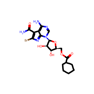 NC(=O)c1c(Br)nc2n([C@H]3O[C@@H](COC(=O)C4CCCCC4)[C@H](O)[C@H]3O)cnc(N)c1-2